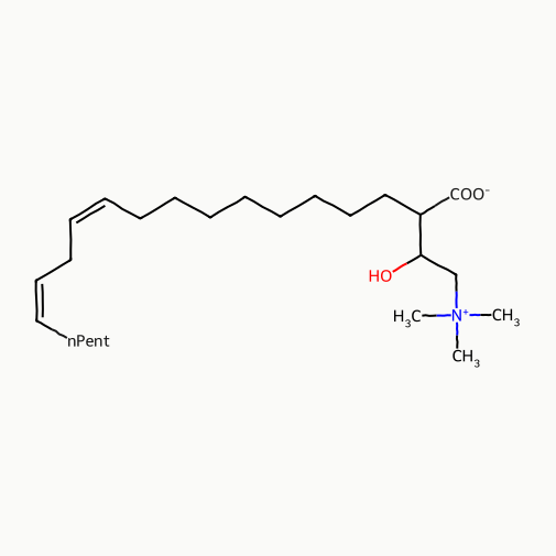 CCCCC/C=C\C/C=C\CCCCCCCCC(C(=O)[O-])C(O)C[N+](C)(C)C